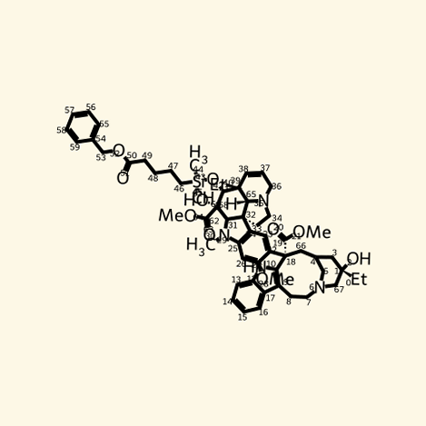 CC[C@]1(O)CC2CN(CCc3c([nH]c4ccccc34)[C@@](C(=O)OC)(c3cc4c(cc3OC)N(C)C3[C@]45CCN4CC=C[C@@](CC)([C@@H](O[Si](C)(C)CCCCC(=O)OCc6ccccc6)[C@]3(O)C(=O)OC)[C@H]45)C2)C1